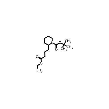 CCOC(=O)CCCC1CCCCN1C(=O)OC(C)(C)C